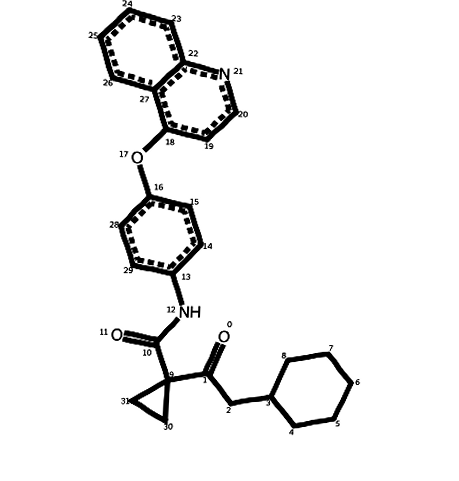 O=C(CC1CCCCC1)C1(C(=O)Nc2ccc(Oc3ccnc4ccccc34)cc2)CC1